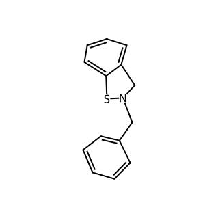 c1ccc(CN2Cc3ccccc3S2)cc1